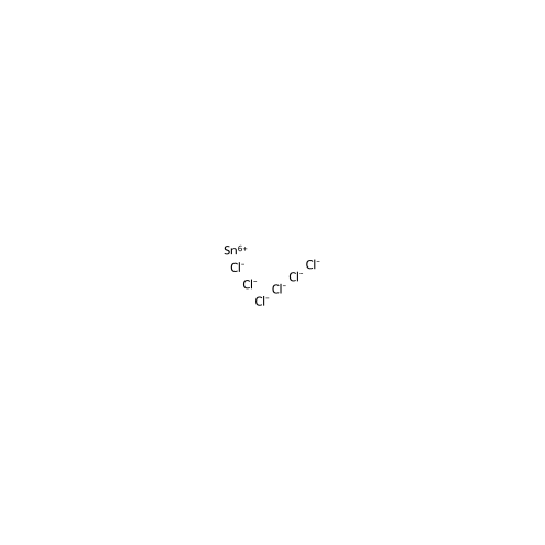 [Cl-].[Cl-].[Cl-].[Cl-].[Cl-].[Cl-].[Sn+6]